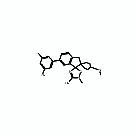 CN1OC2(N=C1N)c1cc(-c3cc(Cl)cc(C#N)c3)ccc1CC21CCC(OI)CC1